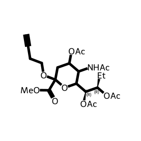 C#CCCOC1(C(=O)OC)CC(OC(C)=O)C(NC(C)=O)C([C@H](OC(C)=O)[C@@H](CC)OC(C)=O)O1